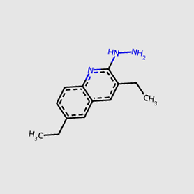 CCc1ccc2nc(NN)c(CC)cc2c1